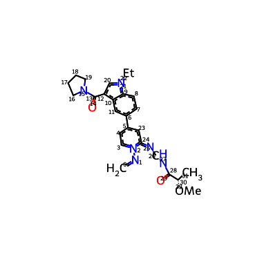 C=Nn1ccc(-c2ccc3c(c2)c(C(=O)N2CCCC2)cn3CC)c/c1=N/CNC(=O)[C@H](C)OC